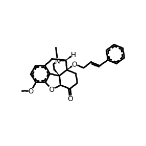 COc1ccc2c3c1OC1C(=O)CC[C@@]4(OC/C=C/c5ccccc5)[C@@H](C2)N(C)CC[C@]314